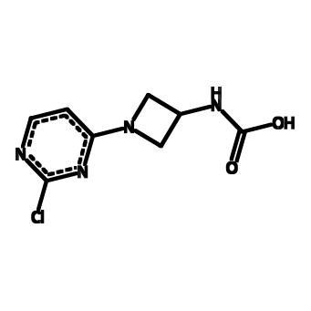 O=C(O)NC1CN(c2ccnc(Cl)n2)C1